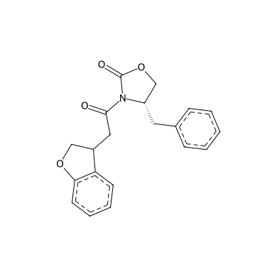 O=C(CC1COc2ccccc21)N1C(=O)OC[C@@H]1Cc1ccccc1